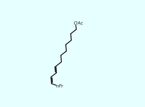 CCC/C=C\C=CCCCCCCCOC(C)=O